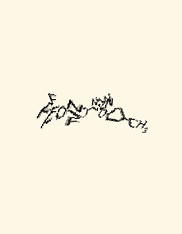 Cc1ccc(Oc2nnc3cnc(-c4cnc(OCC(F)(F)F)c(F)c4)cn23)cc1